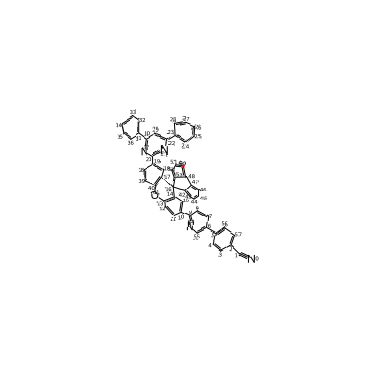 N#Cc1ccc(-c2ccc(-c3ccc4c(c3)C3(c5cc(-c6nc(-c7ccccc7)cc(-c7ccccc7)n6)ccc5O4)c4ccccc4-c4ccccc43)nc2)cc1